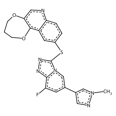 Cn1cc(-c2cc(F)c3nnc(Sc4ccc5ncc6c(c5c4)OCCCO6)n3c2)cn1